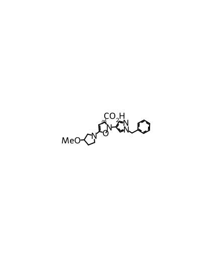 COC1CCN(C2=C[C@H](C(=O)O)N(c3cnn(Cc4ccccc4)c3)O2)C1